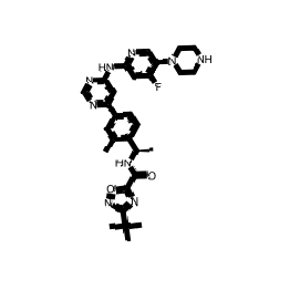 Cc1cc(-c2cc(Nc3cc(F)c(N4CCNCC4)cn3)ncn2)ccc1[C@@H](C)NC(=O)c1nc(C(C)(C)C)no1